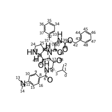 CC(C)C[C@H](NC(=O)c1ccc(N(C)C)cc1)C(=O)C1C(=O)[C@H]2NCC[C@H]2N1C(=O)[C@H](Cc1ccccc1)NC(=O)OCc1ccccc1